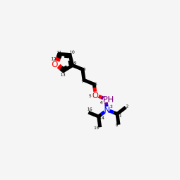 CC(C)N(POCCCc1ccoc1)C(C)C